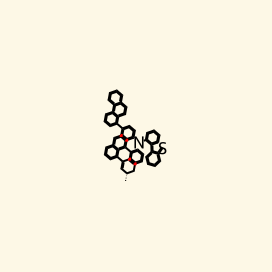 C[C@@H]1C=C(c2cccc3cccc(-c4ccccc4N(c4ccc(-c5cccc6c5ccc5ccccc56)cc4)c4cccc5sc6ccccc6c45)c23)C=CC1